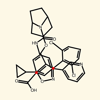 O=C(O)c1cc(NC(=O)N2C3CCC2CC(OCc2c(-c4c(Cl)cccc4Cl)noc2C2CC2)C3)cc(-c2cccnc2)c1